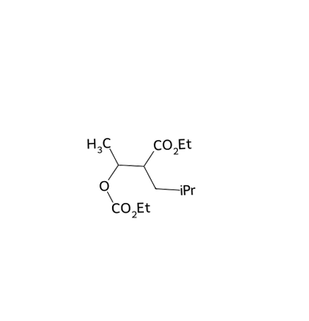 CCOC(=O)OC(C)C(CC(C)C)C(=O)OCC